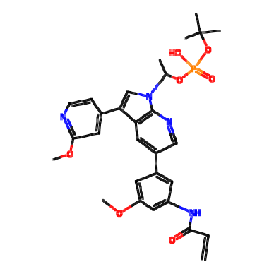 C=CC(=O)Nc1cc(OC)cc(-c2cnc3c(c2)c(-c2ccnc(OC)c2)cn3C(C)OP(=O)(O)OC(C)(C)C)c1